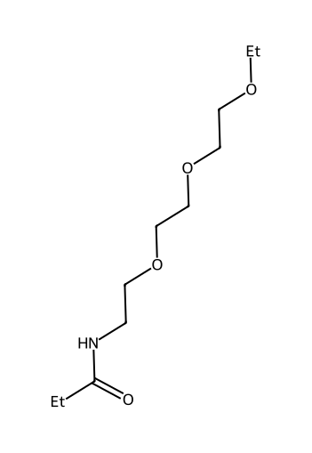 CCOCCOCCOCCNC(=O)CC